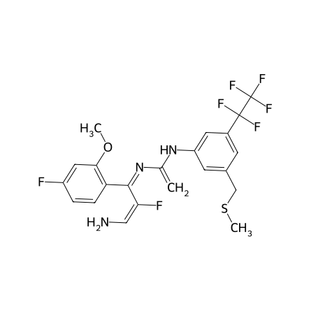 C=C(/N=C(\C(F)=C/N)c1ccc(F)cc1OC)Nc1cc(CSC)cc(C(F)(F)C(F)(F)F)c1